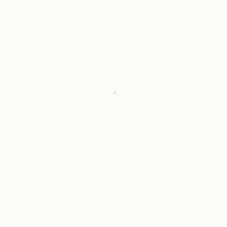 Cc1c2ccccc2cc2cc3c(cc12)[Si](c1ccccc1)(c1ccccc1)c1ccccc1-3